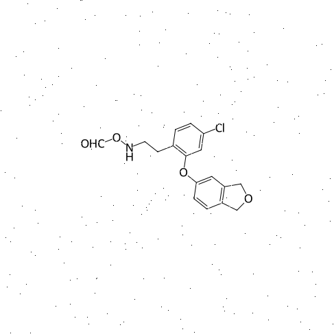 O=CONCCc1ccc(Cl)cc1Oc1ccc2c(c1)COC2